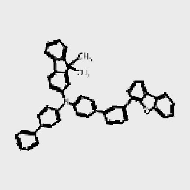 CC1(C)c2ccccc2-c2ccc(N(c3ccc(-c4ccccc4)cc3)c3ccc(-c4cccc(-c5cccc6c5oc5ccccc56)c4)cc3)cc21